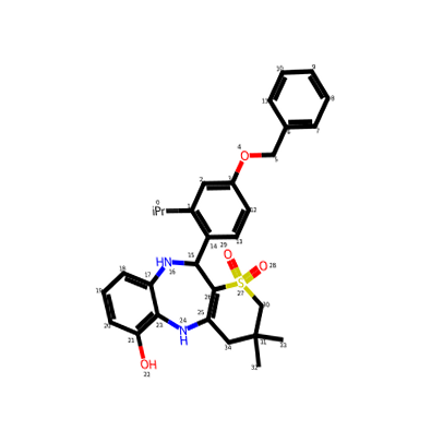 CC(C)c1cc(OCc2ccccc2)ccc1C1Nc2cccc(O)c2NC2=C1S(=O)(=O)CC(C)(C)C2